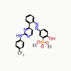 CCOP(=O)(OCC)c1cc(/N=N/c2ccccc2-c2ccnc(Nc3ccc(C(F)(F)F)cc3)n2)ccc1O